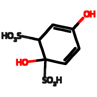 O=S(=O)(O)C1C=C(O)C=CC1(O)S(=O)(=O)O